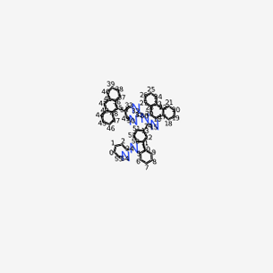 c1ccc(-n2c3ccccc3c3cc(-c4nc5c6ccccc6c6ccccc6c5n4-c4ncc(-c5c6ccccc6cc6ccccc56)cn4)ccc32)nc1